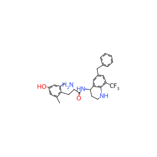 Cc1cc(O)cc(C)c1C[C@H](N)C(=O)N[C@@H]1CCNc2c1cc(Cc1ccccc1)cc2C(F)(F)F